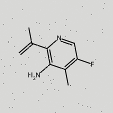 C=C(C)c1ncc(F)c(C)c1N